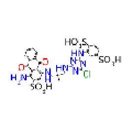 CC(C)(CNc1nc(Cl)nc(Nc2cc(S(=O)(=O)O)ccc2S(=O)(=O)O)n1)CNc1cc(S(=O)(=O)O)c(N)c2c1C(=O)c1ccccc1C2=O